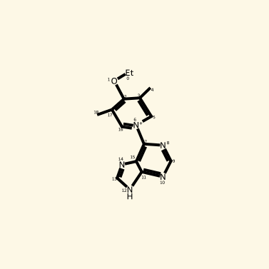 CCOc1c(C)c[n+](-c2ncnc3[nH]cnc23)cc1C